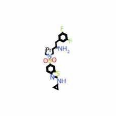 CC(C)CN(CC[C@@H](N)Cc1cc(F)cc(F)c1)S(=O)(=O)c1ccc2nc(NC3CC3)sc2c1